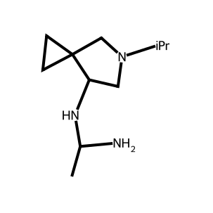 CC(N)NC1CN(C(C)C)CC12CC2